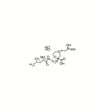 CC(C)C[C@H](N)C(=O)NC[C@@H]1CC[C@@H](CCB(O)O)C[C@]1(N)C(=O)O.Cl.Cl